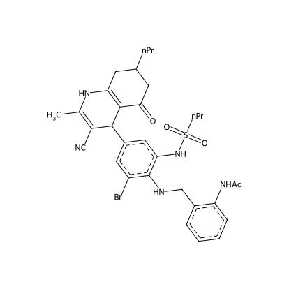 CCCC1CC(=O)C2=C(C1)NC(C)=C(C#N)C2c1cc(Br)c(NCc2ccccc2NC(C)=O)c(NS(=O)(=O)CCC)c1